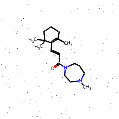 CC1=C(/C=C/C(=O)N2CCCN(C)CC2)C(C)(C)CCC1